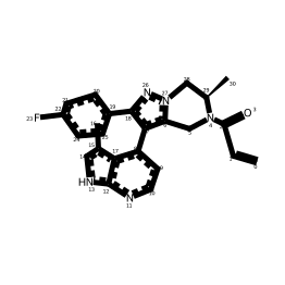 C=CC(=O)N1Cc2c(-c3ccnc4[nH]cc(C)c34)c(-c3ccc(F)cc3)nn2C[C@H]1C